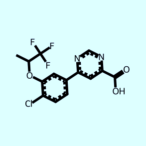 CC(Oc1cc(-c2cc(C(=O)O)ncn2)ccc1Cl)C(F)(F)F